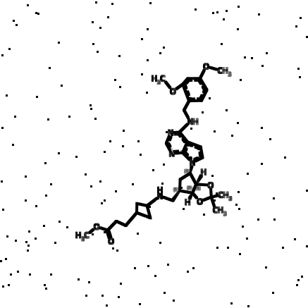 COC(=O)CCC1CC(NC[C@H]2C[C@@H](n3ccc4c(NCc5ccc(OC)cc5OC)ncnc43)[C@@H]3OC(C)(C)O[C@H]23)C1